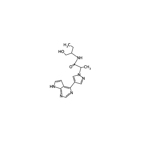 CCC(CO)NC(=O)C(C)n1cc(-c2ncnc3[nH]ccc23)cn1